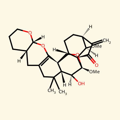 C=C1C(=O)[C@]23[C@H](OC)[C@H]1CC[C@H]2[C@@]12CO[C@@]3(OC)[C@@H](O)[C@@H]1C(C)(C)CC1=C2O[C@H]2OCCC[C@H]2C1